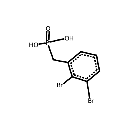 O=P(O)(O)Cc1cccc(Br)c1Br